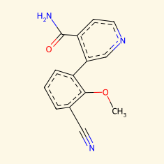 COc1c(C#N)cccc1-c1cnccc1C(N)=O